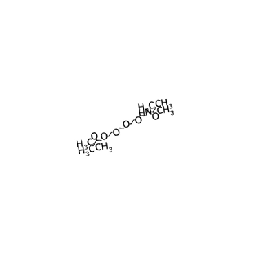 CC(C)(C)C(=O)COCCOCCOCCOCCNC(=O)C(C)(C)C